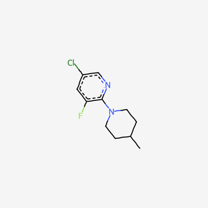 CC1CCN(c2ncc(Cl)cc2F)CC1